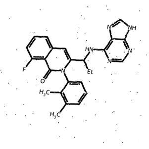 CCC(Nc1ncnc2[nH]cnc12)c1cc2cccc(F)c2c(=O)n1-c1cccc(C)c1C